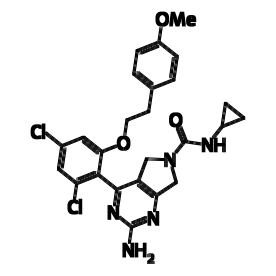 COc1ccc(CCOc2cc(Cl)cc(Cl)c2-c2nc(N)nc3c2CN(C(=O)NC2CC2)C3)cc1